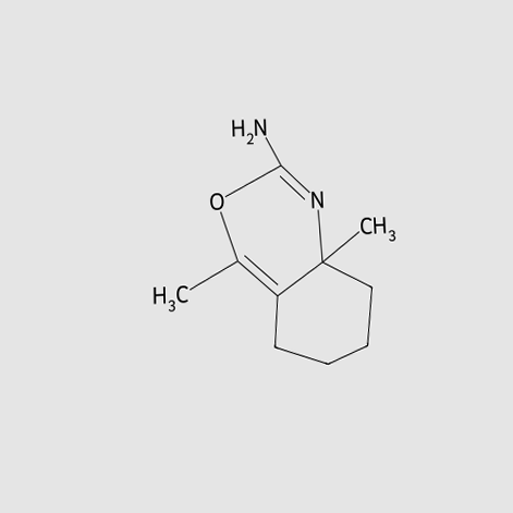 CC1=C2CCCCC2(C)N=C(N)O1